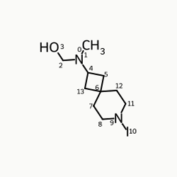 CN(CO)C1CC2(CCN(I)CC2)C1